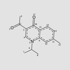 CC(=O)c1cn(C(C)C)c2cc(C)ccc2c1=O